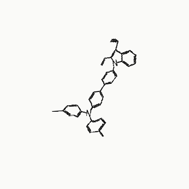 C=Cc1c(C=C)n(-c2ccc(-c3ccc(N(c4ccc(C)cc4)c4ccc(C)cc4)cc3)cc2)c2ccccc12